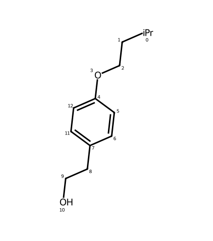 CC(C)CCOc1ccc(CCO)cc1